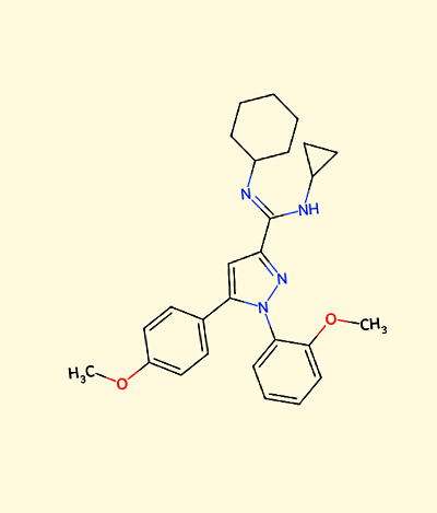 COc1ccc(-c2cc(C(=NC3CCCCC3)NC3CC3)nn2-c2ccccc2OC)cc1